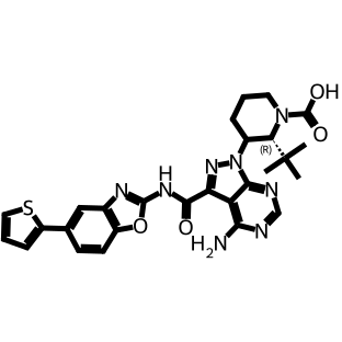 CC(C)(C)[C@@H]1C(n2nc(C(=O)Nc3nc4cc(-c5cccs5)ccc4o3)c3c(N)ncnc32)CCCN1C(=O)O